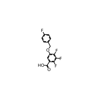 O=C(O)c1cc(OCc2ccc(F)cc2)c(F)c(F)c1F